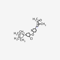 CC(=O)N[C@@H](C)/C=C/c1ccc(Oc2ccc(C3=CC(C)(C)OC(C)(C)C3)cc2Cl)nc1